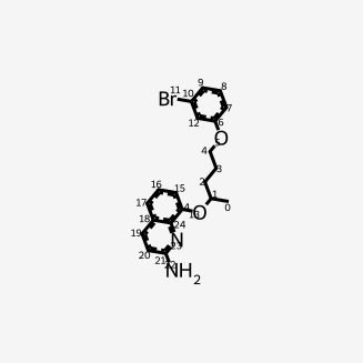 CC(CCCOc1cccc(Br)c1)Oc1cccc2ccc(N)nc12